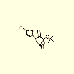 CC(C)(C)OC(=O)NC(CC#N)c1ccc(Cl)cc1